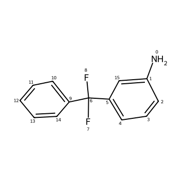 Nc1cccc(C(F)(F)c2ccccc2)c1